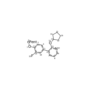 CCCCCOc1ccc(-c2cccnc2OC2CCCC2)cc1F